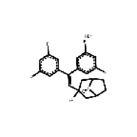 Br.CN1C2CCC1CC(C)(C=C(c1cc(F)cc(F)c1)c1cc(F)cc(F)c1)C2